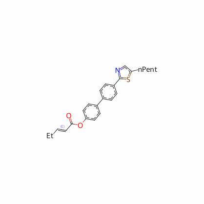 CC/C=C/C(=O)Oc1ccc(-c2ccc(-c3ncc(CCCCC)s3)cc2)cc1